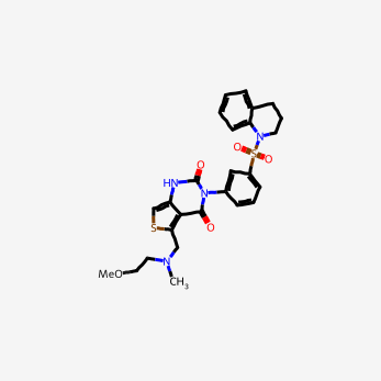 COCCN(C)Cc1scc2[nH]c(=O)n(-c3cccc(S(=O)(=O)N4CCCc5ccccc54)c3)c(=O)c12